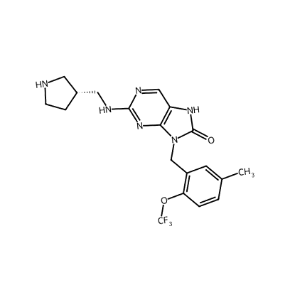 Cc1ccc(OC(F)(F)F)c(Cn2c(=O)[nH]c3cnc(NC[C@@H]4CCNC4)nc32)c1